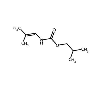 CC(C)=CNC(=O)OCC(C)C